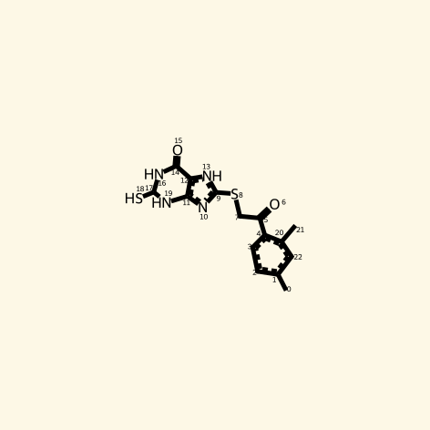 Cc1ccc(C(=O)CSc2nc3c([nH]2)C(=O)NC(S)N3)c(C)c1